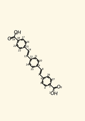 O=C(O)c1ccc(C=Cc2ccc(C=Cc3ccc(C(=O)O)cc3)cc2)cc1